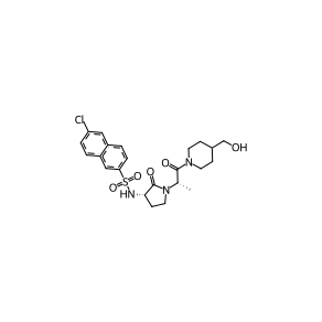 C[C@@H](C(=O)N1CCC(CO)CC1)N1CC[C@H](NS(=O)(=O)c2ccc3cc(Cl)ccc3c2)C1=O